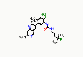 CNc1cc2nc(C)c(-c3cc(NC(=O)NCCCC(C)(C)F)c(F)cc3C)cc2cn1.Cl